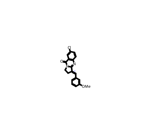 COc1cccc(/C=C2\CCn3c2nc2ccc(Cl)cc2c3=O)c1